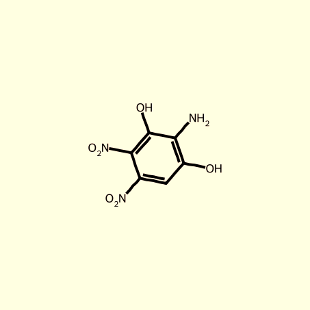 Nc1c(O)cc([N+](=O)[O-])c([N+](=O)[O-])c1O